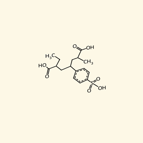 CCC(CC(CC(C)C(=O)O)c1ccc(S(=O)(=O)O)cc1)C(=O)O